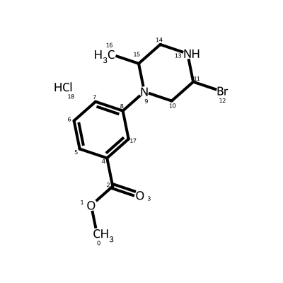 COC(=O)c1cccc(N2CC(Br)NCC2C)c1.Cl